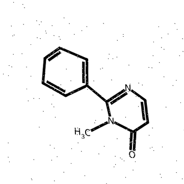 Cn1c(-c2ccccc2)nccc1=O